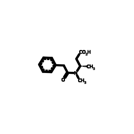 C[C@@H](CC(=O)O)N(C)C(=O)Cc1ccccc1